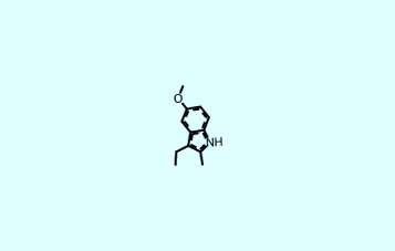 CCc1c(C)[nH]c2ccc(OC)cc12